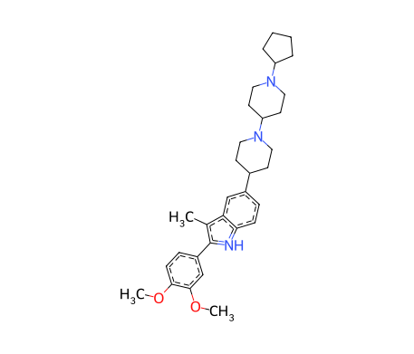 COc1ccc(-c2[nH]c3ccc(C4CCN(C5CCN(C6CCCC6)CC5)CC4)cc3c2C)cc1OC